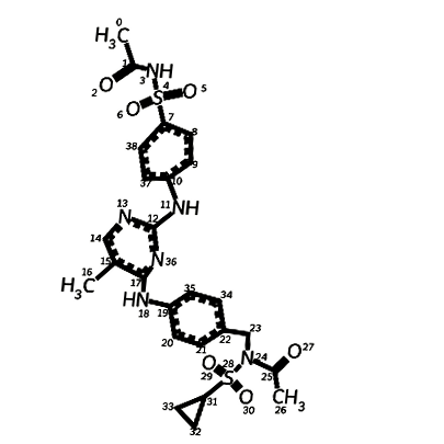 CC(=O)NS(=O)(=O)c1ccc(Nc2ncc(C)c(Nc3ccc(CN(C(C)=O)S(=O)(=O)C4CC4)cc3)n2)cc1